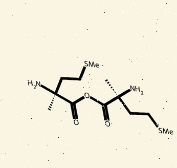 CSCC[C@](C)(N)C(=O)OC(=O)[C@@](C)(N)CCSC